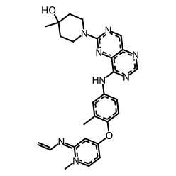 C=C/N=c1/cc(Oc2ccc(Nc3ncnc4cnc(N5CCC(C)(O)CC5)nc34)cc2C)ccn1C